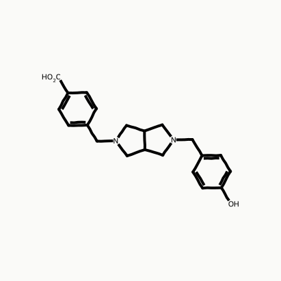 O=C(O)c1ccc(CN2CC3CN(Cc4ccc(O)cc4)CC3C2)cc1